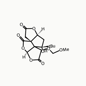 COCO[C@H]1C(=O)O[C@H]2OC(=O)[C@]34CC(=O)O[C@H]3C[C@@](O)(C(C)(C)C)C214